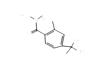 CCC(C)(C)c1ccc(C(=O)N(C)C)c(C(F)(F)F)c1